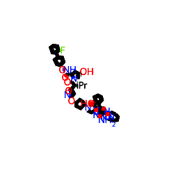 CC(C)[C@@H](C(=O)N1C[C@H](O)C[C@H]1C(=O)NOc1ccc(-c2ccccc2F)cc1)c1cc(O[C@H]2CC[C@@H](N3CCC(c4cnc(N5C6CCC5CN(c5cc(-c7ccccc7O)nnc5N)C6)nc4)CC3)CC2)no1